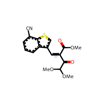 COC(=O)/C(=C\c1csc2c(C#N)cccc12)C(=O)C(OC)OC